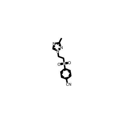 Cc1ncn(CCS(=O)(=O)c2ccc(C#N)cc2)n1